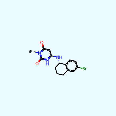 CC(C)n1c(=O)cc(N[C@H]2CCCc3cc(Br)ccc32)[nH]c1=O